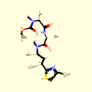 CC[C@H](C)[C@H](NC(=O)[C@@H](C(C)C)N(C)C(=O)OC(C)(C)C)C(=O)N(C)[C@H](C[C@@H](OC(C)=O)c1nc(C(=O)O)cs1)C(C)C